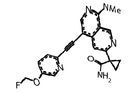 CNc1ncc(C#Cc2ccc(OCF)cn2)c2cc(C3(C(N)=O)CC3)ncc12